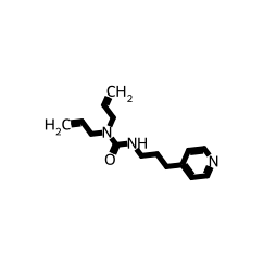 C=CCN(CC=C)C(=O)NCCCc1ccncc1